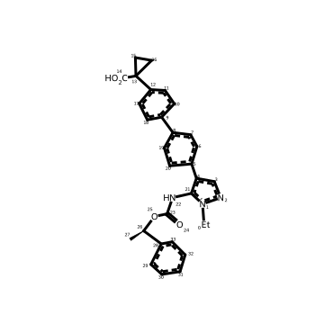 CCn1ncc(-c2ccc(-c3ccc(C4(C(=O)O)CC4)cc3)cc2)c1NC(=O)O[C@H](C)c1ccccc1